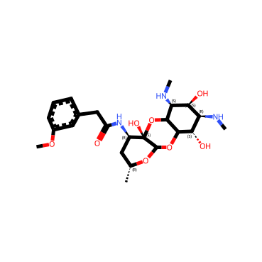 CN[C@@H]1[C@H](O)[C@H](NC)C2O[C@]3(O)C(OC2[C@H]1O)O[C@H](C)C[C@H]3NC(=O)Cc1cccc(OC)c1